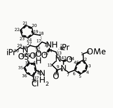 COCc1cccc(CN2C(=O)CN([C@H](C(=O)N[C@@H](Cc3ccccc3)[C@@H](O)CN(CC(C)C)S(=O)(=O)c3ccc(Cl)c(N)c3)C(C)C)C2=O)c1